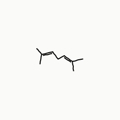 CC(C)=CCC=C(C)C